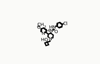 COc1ccc(C2CN(CC3(O)CCC3)CCC2NC(=O)Nc2ccc(Cl)cc2)nc1